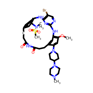 COc1cc(N2CCC(N3CCN(C)CC3)CC2)c2cc1Nc1ncc(Br)c(n1)Nc1ccc(cc1N(C)S(C)(=O)=O)CCC(=O)NC(=O)CC2